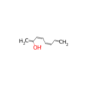 C=C/C=C\C=C/C(=C)O